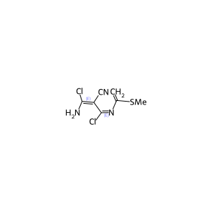 C=C(/N=C(Cl)\C(C#N)=C(/N)Cl)SC